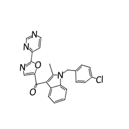 Cc1c(C(=O)c2cnc(-c3ccncn3)o2)c2ccccc2n1Cc1ccc(Cl)cc1